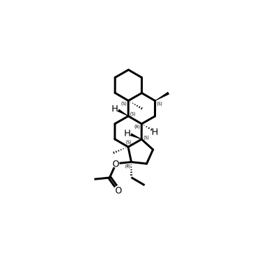 CC[C@@]1(OC(C)=O)CC[C@H]2[C@@H]3C[C@H](C)C4CCCC[C@]4(C)[C@H]3CC[C@@]21C